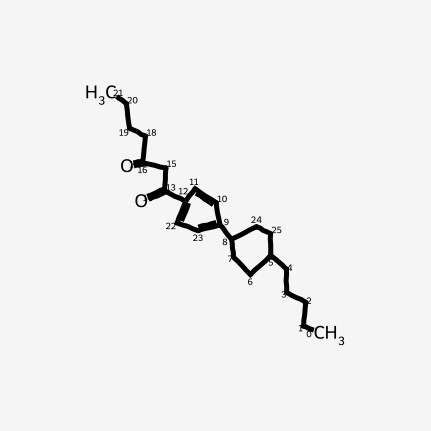 CCCCCC1CCC(c2ccc(C(=O)CC(=O)CCCC)cc2)CC1